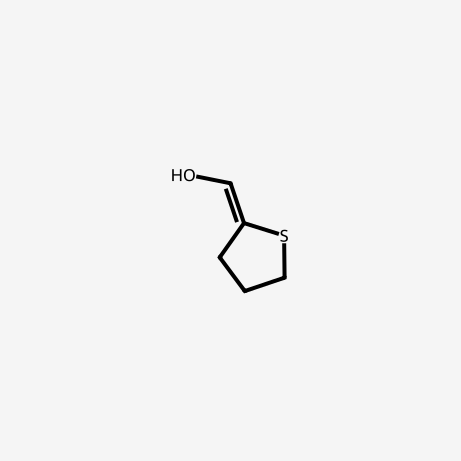 O/C=C1\CCCS1